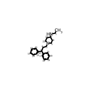 CCNC1CCN(CCC(c2ccccc2)c2ccccc2)CC1